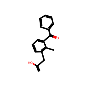 C=C(O)Cc1cccc(C(=O)c2ccccc2)c1C